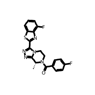 C[C@@H]1c2nnc(-c3nc4c(F)cccc4s3)n2CCN1C(=O)c1ccc(F)cc1